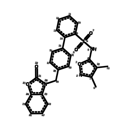 Cc1noc(NS(=O)(=O)c2ccccc2-c2ccc(Cn3c(=O)oc4ccccc43)cc2)c1C